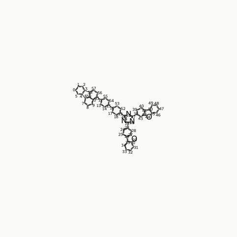 c1ccc2c(c1)-c1cccc3c(-c4ccc(-c5ccc(-c6nc(-c7ccc8c(c7)oc7ccccc78)nc(-c7ccc8c(c7)oc7ccccc78)n6)cc5)cc4)ccc-2c13